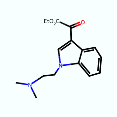 CCOC(=O)C(=O)c1cn(CCN(C)C)c2ccccc12